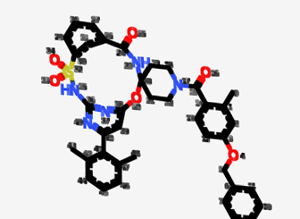 Cc1cc(OCc2ccccc2)ccc1C(=O)N1CCC2(CC1)NC(=O)c1cccc(c1)S(=O)(=O)Nc1nc(cc(-c3c(C)cccc3C)n1)O2